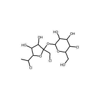 CC(Cl)C1OC(CCl)(OC2OC(CO)C(Cl)C(O)C2O)C(O)C1O